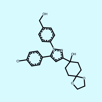 OCc1ccc(-n2nc(C3(O)CCC4(CC3)OCCO4)cc2-c2ccc(Cl)cc2)cc1